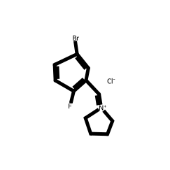 Fc1ccc(Br)cc1C=[N+]1CCCC1.[Cl-]